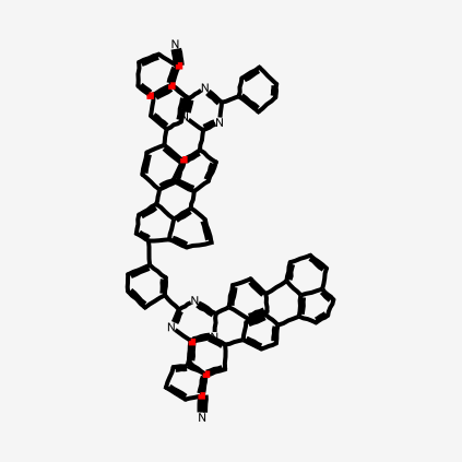 N#Cc1ccc(-c2ccc(-c3ccc(-c4cccc(-c5nc(-c6ccccc6)nc(-c6ccc(-c7cccc8cccc(-c9ccc(-c%10cccc(C#N)c%10)cc9)c78)cc6)n5)c4)c4cccc(-c5ccc(-c6nc(-c7ccccc7)nc(-c7ccccc7)n6)cc5)c34)cc2)cc1